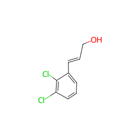 OCC=Cc1cccc(Cl)c1Cl